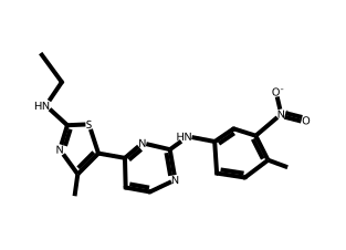 CCNc1nc(C)c(-c2ccnc(Nc3ccc(C)c([N+](=O)[O-])c3)n2)s1